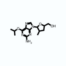 CC(C)Oc1nc(N)nc2c1ncn2C1OC(CO)CC1C